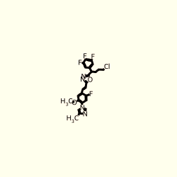 COc1cc(C=Cc2nnc(C(CCCCl)c3cc(F)c(F)c(F)c3)o2)c(F)cc1-n1cnc(C)c1